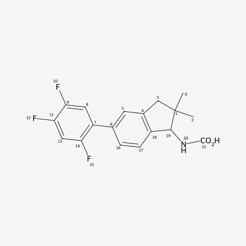 CC1(C)Cc2cc(-c3cc(F)c(F)cc3F)ccc2C1NC(=O)O